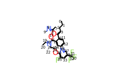 CCC/C=C(\O/C(C)=N\C)c1ccccc1C(=O)N(CC)[C@@H](C)COc1ncc(C(F)(F)F)cc1F